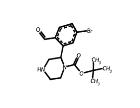 CC(C)(C)OC(=O)N1CCNCC1c1cc(Br)ccc1C=O